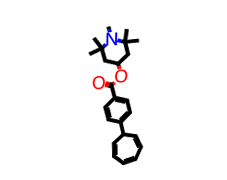 CN1C(C)(C)CC(OC(=O)c2ccc(C3C=CC=CC=C3)cc2)CC1(C)C